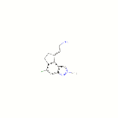 Cn1cc2c3c(c(F)cc2n1)CCC3=CCN